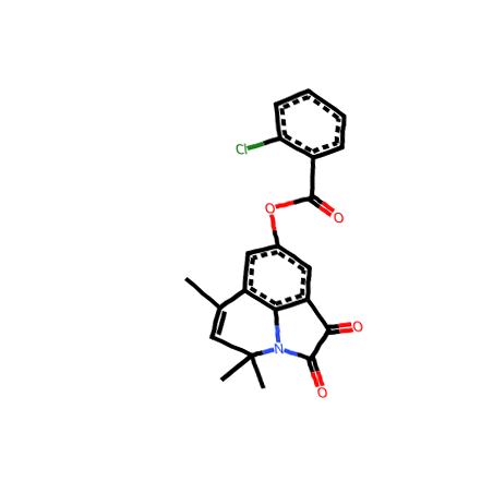 CC1=CC(C)(C)N2C(=O)C(=O)c3cc(OC(=O)c4ccccc4Cl)cc1c32